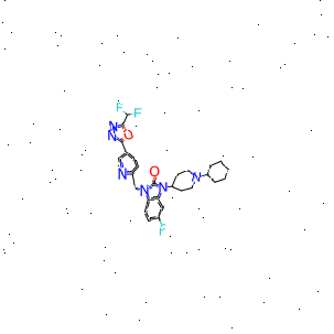 O=c1n(Cc2ccc(-c3nnc(C(F)F)o3)cn2)c2ccc(F)cc2n1C1CCN(C2CCCCC2)CC1